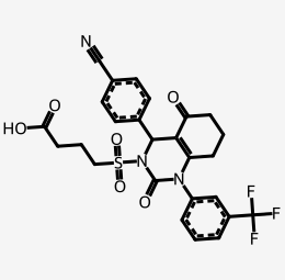 N#Cc1ccc(C2C3=C(CCCC3=O)N(c3cccc(C(F)(F)F)c3)C(=O)N2S(=O)(=O)CCCC(=O)O)cc1